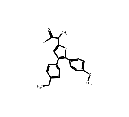 COc1ccc(-c2cc(C(C)C(=O)Cl)sc2-c2ccc(OC)cc2)cc1